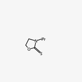 CC(C)N1CCOC1=S